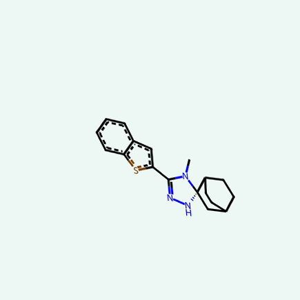 CN1C(c2cc3ccccc3s2)=NN[C@]12CC1CCC2CC1